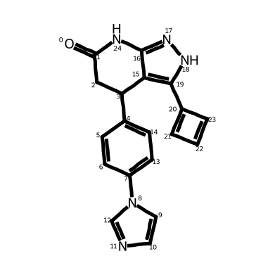 O=C1CC(c2ccc(-n3ccnc3)cc2)c2c(n[nH]c2C2=CC=C2)N1